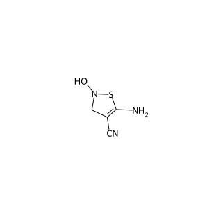 N#CC1=C(N)SN(O)C1